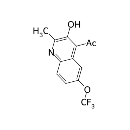 CC(=O)c1c(O)c(C)nc2ccc(OC(F)(F)F)cc12